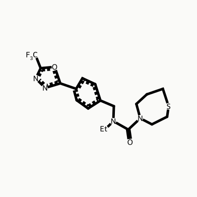 CCN(Cc1ccc(-c2nnc(C(F)(F)F)o2)cc1)C(=O)N1CCCSCC1